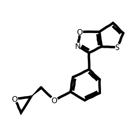 c1cc(OC[C@H]2CO2)cc(-c2noc3ccsc23)c1